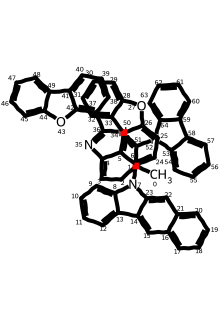 CC1C/C=C(c2c(-n3c4ccccc4c4cc5ccccc5cc43)ccc3oc4ccccc4c23)/N=C(c2cccc3c2oc2ccccc23)\N=C/1n1c2ccccc2c2ccccc21